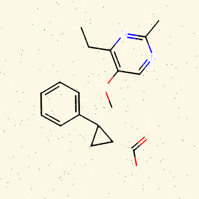 CCc1nc(C)ncc1OC[C@@]1(c2ccccc2)C[C@H]1C(=O)O